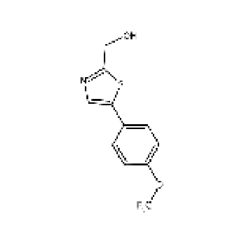 OCc1ncc(-c2ccc(OC(F)(F)F)cc2)s1